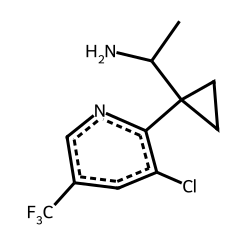 CC(N)C1(c2ncc(C(F)(F)F)cc2Cl)CC1